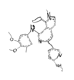 COc1cc(Nc2nc(-c3cnc(N)nc3)cc3ccn(C)c(=O)c23)cc(C)c1OC